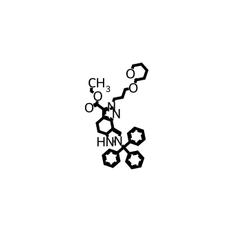 CCOC(=O)c1c2c(nn1CCCOC1CCCCO1)C1=CN(C(c3ccccc3)(c3ccccc3)c3ccccc3)NC1CC2